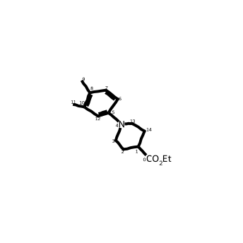 CCOC(=O)C1CCN(c2ccc(C)c(C)c2)CC1